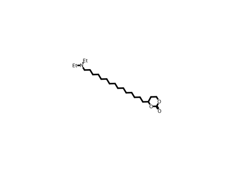 CCN(CC)CCCCCCCCCCCCCCCC1CCOC(=O)O1